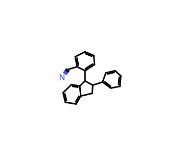 N#Cc1ccccc1C1c2ccccc2CC1c1ccccc1